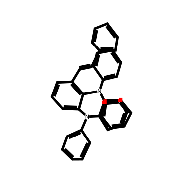 C(=Cc1cccc(N(c2ccccc2)c2ccccc2)c1N(c1ccccc1)c1ccccc1)c1ccccc1